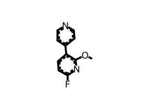 COc1nc(F)ccc1-c1ccncc1